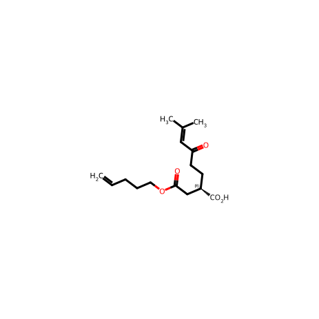 C=CCCCOC(=O)C[C@@H](CCC(=O)C=C(C)C)C(=O)O